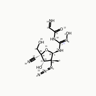 C[C@]1(N=[N+]=[N-])[C@H](N/C(=N/O)NC(=O)C=N)O[C@](C#N)(CO)[C@H]1O